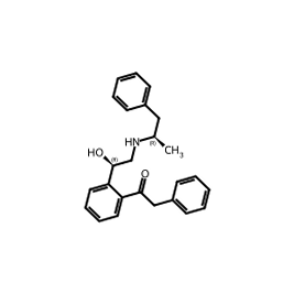 C[C@H](Cc1ccccc1)NC[C@H](O)c1ccccc1C(=O)Cc1ccccc1